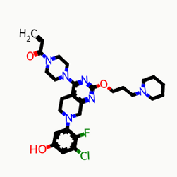 C=CC(=O)N1CCN(c2nc(OCCCN3CCCCC3)nc3c2CCN(c2cc(O)cc(Cl)c2F)C3)CC1